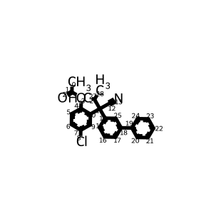 CC(=O)Oc1ccc(Cl)cc1C(C#N)(c1cccc(-c2ccccc2)c1)C(C)C